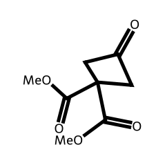 COC(=O)C1(C(=O)OC)CC(=O)C1